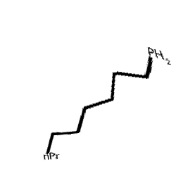 CCCCCCCCCP